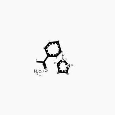 CC(=O)c1ccccc1.O.c1cn[nH]c1